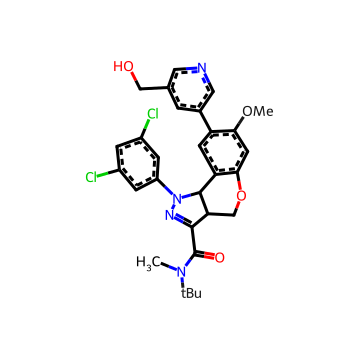 COc1cc2c(cc1-c1cncc(CO)c1)C1C(CO2)C(C(=O)N(C)C(C)(C)C)=NN1c1cc(Cl)cc(Cl)c1